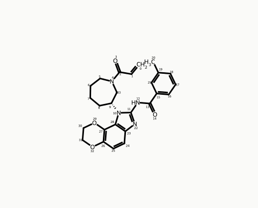 C=CC(=O)N1CCCC[C@@H](n2c(NC(=O)c3cccc(C)c3)nc3ccc4c(c32)OCCO4)C1